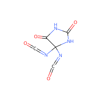 O=C=NC1(N=C=O)NC(=O)NC1=O